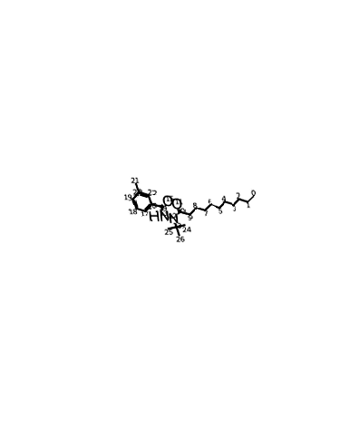 CCCCCCCCCCC(=O)N(NC(=O)c1cccc(C)c1)C(C)(C)C